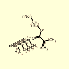 C=C(C)C(=O)OCCCC.CCCCCCCCCC.CCCCCCCCCC.CCCCCCCCCC.CCCCCCCCCC.CCCCCCCCCC